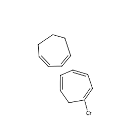 C1=CCCCC=C1.[Cr][C]1=CC=CC=CC1